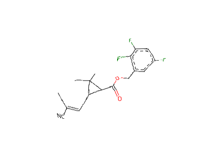 C/C(C#N)=C\C1C(C(=O)OCc2cc(F)cc(F)c2F)C1(C)C